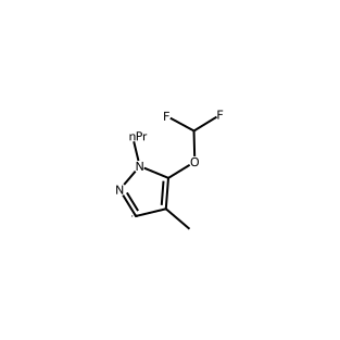 CCCn1n[c]c(C)c1OC(F)F